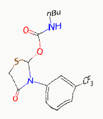 CCCCNC(=O)OC1SCC(=O)N1c1cccc(C(F)(F)F)c1